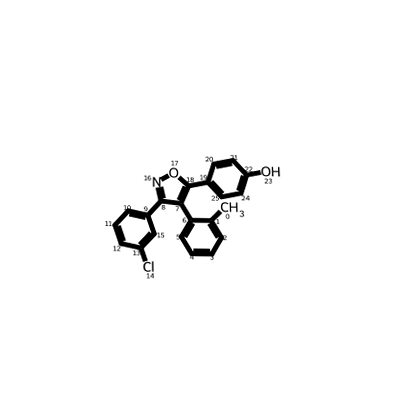 Cc1ccccc1-c1c(-c2cccc(Cl)c2)noc1-c1ccc(O)cc1